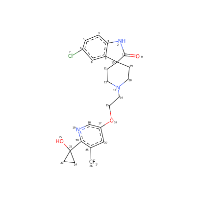 O=C1Nc2ccc(Cl)cc2C12CCN(CCOc1cnc(C3(O)CC3)c(C(F)(F)F)c1)CC2